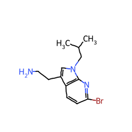 CC(C)Cn1cc(CCN)c2ccc(Br)nc21